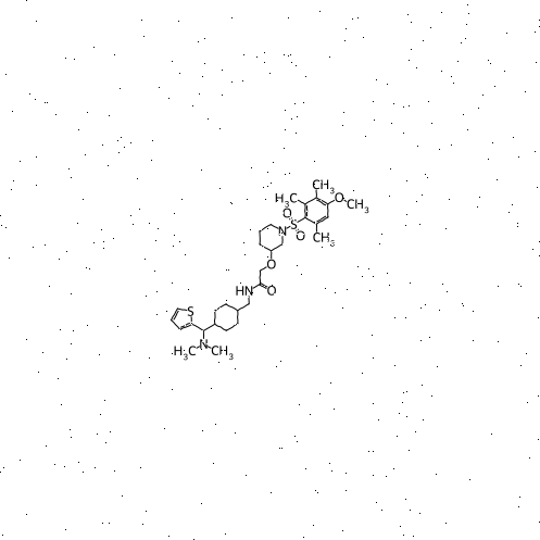 COc1cc(C)c(S(=O)(=O)N2CCCC(OCC(=O)NCC3CCC(C(c4cccs4)N(C)C)CC3)C2)c(C)c1C